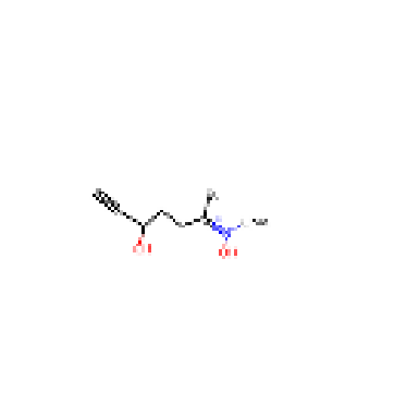 C#CC(O)CC/C(CC)=[N+](\O)OC